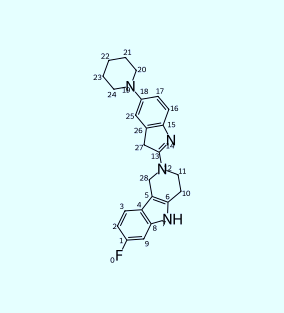 Fc1ccc2c3c([nH]c2c1)CCN(C1=Nc2ccc(N4CCCCC4)cc2C1)C3